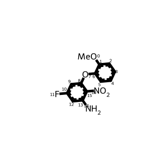 COc1ccccc1Oc1cc(F)cc(N)c1[N+](=O)[O-]